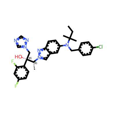 CCC(C)(C)N(Cc1ccc(Cl)cc1)c1ccc2nn([C@H](C)[C@](O)(Cn3cncn3)c3ccc(F)cc3F)cc2c1